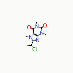 CC(Cl)c1nc2c(c(=O)n(C)c(=O)n2C)n1C